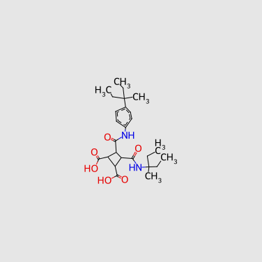 CCC(C)(CC)NC(=O)C1C(C(=O)O)C(C(=O)O)C1C(=O)Nc1ccc(C(C)(CC)CC)cc1